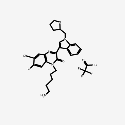 NCCCCCn1c(=O)c(-c2cn(CC3CCCO3)c3ccccc23)nc2cc(Cl)c(Cl)cc21.O=C(O)C(F)(F)F